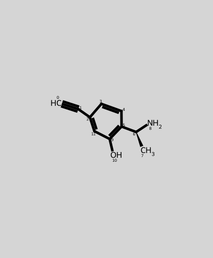 C#Cc1ccc([C@H](C)N)c(O)c1